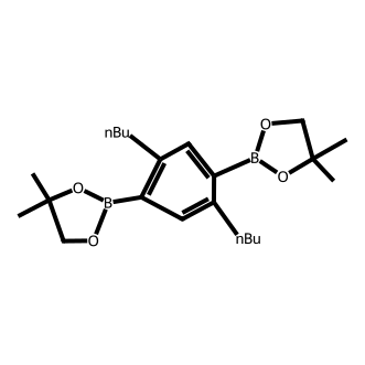 CCCCc1cc(B2OCC(C)(C)O2)c(CCCC)cc1B1OCC(C)(C)O1